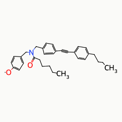 CCCCCC(=O)N(Cc1ccc([O])cc1)Cc1ccc(C#Cc2ccc(CCCC)cc2)cc1